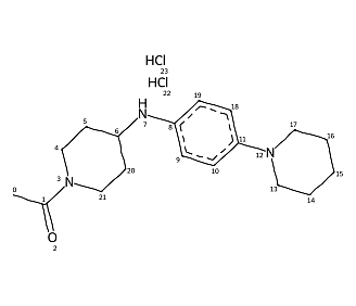 CC(=O)N1CCC(Nc2ccc(N3CCCCC3)cc2)CC1.Cl.Cl